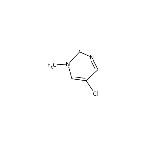 FC(F)(F)N1[CH]N=CC(Cl)=C1